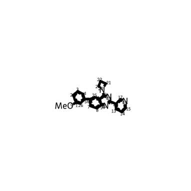 COc1cccc(-c2ccc3nc(-c4cccnc4)nc(N4CCC4)c3c2)c1